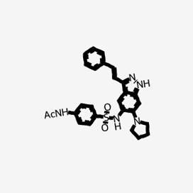 CC(=O)Nc1ccc(S(=O)(=O)Nc2cc3c(/C=C/c4ccccc4)n[nH]c3cc2N2CCCC2)cc1